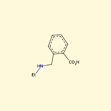 CCNCc1ccccc1C(=O)O